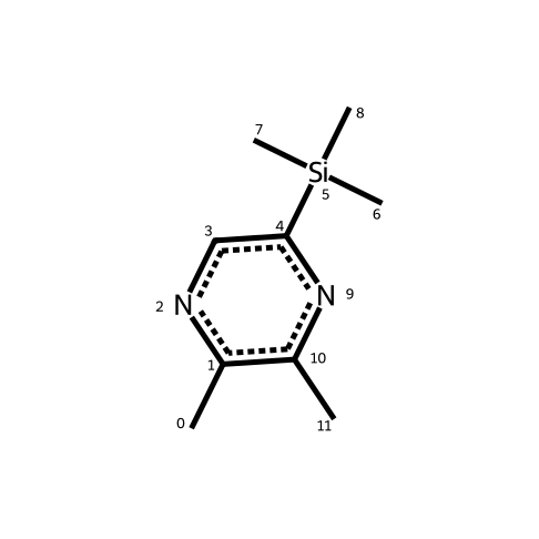 Cc1ncc([Si](C)(C)C)nc1C